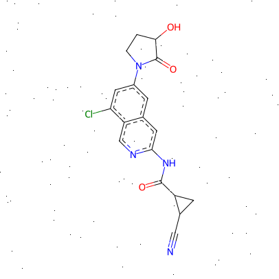 N#CC1CC1C(=O)Nc1cc2cc(N3CCC(O)C3=O)cc(Cl)c2cn1